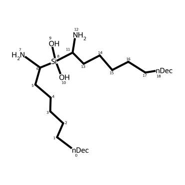 CCCCCCCCCCCCCCCC(N)[Si](O)(O)C(N)CCCCCCCCCCCCCCC